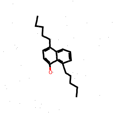 CCCCCc1ccc([O])c2c(CCCCC)cccc12